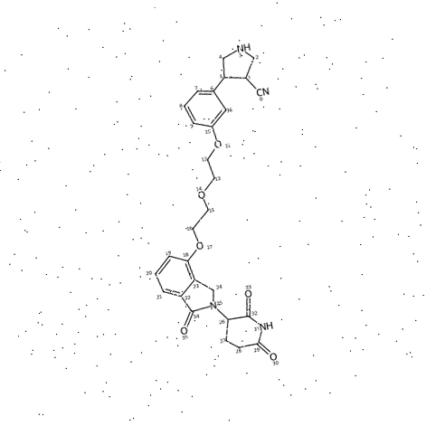 N#CC1CNCC1c1cccc(OCCOCCOc2cccc3c2CN(C2CCC(=O)NC2=O)C3=O)c1